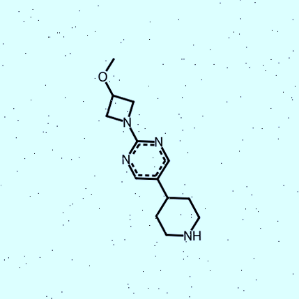 COC1CN(c2ncc(C3CCNCC3)cn2)C1